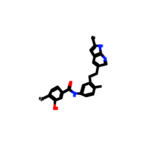 CC(=O)c1cc2cc(CCc3cc(NC(=O)c4ccc(C(F)(F)F)c(O)c4)ccc3C)cnc2[nH]1